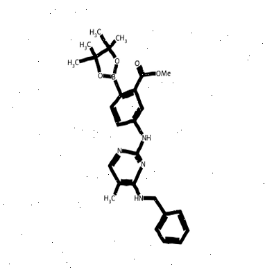 COC(=O)c1cc(Nc2ncc(C)c(NCc3ccccc3)n2)ccc1B1OC(C)(C)C(C)(C)O1